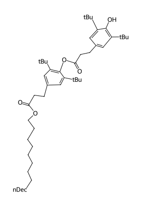 CCCCCCCCCCCCCCCCCCOC(=O)CCc1cc(C(C)(C)C)c(OC(=O)CCc2cc(C(C)(C)C)c(O)c(C(C)(C)C)c2)c(C(C)(C)C)c1